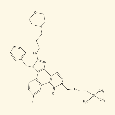 C[Si](C)(C)CCOCn1ccc2c3nc(NCCCN4CCOCC4)n(Cc4ccccc4)c3c3ccc(F)cc3c2c1=O